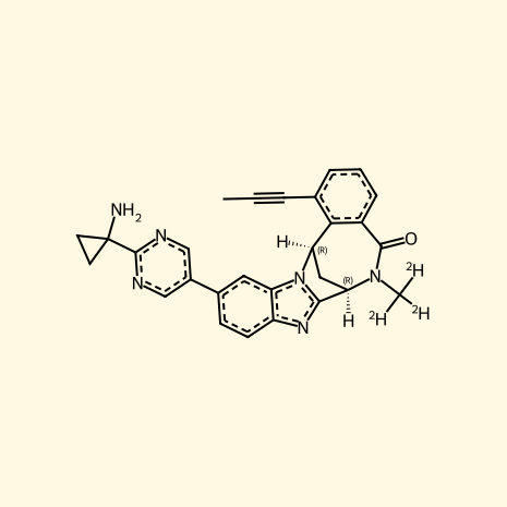 [2H]C([2H])([2H])N1C(=O)c2cccc(C#CC)c2[C@H]2C[C@@H]1c1nc3ccc(-c4cnc(C5(N)CC5)nc4)cc3n12